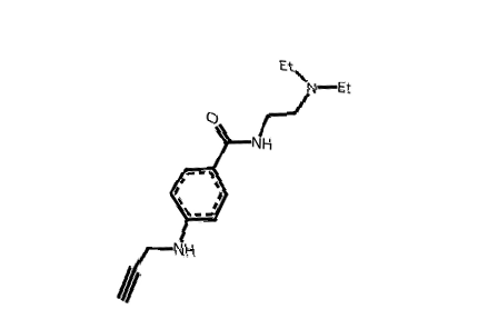 C#CCNc1ccc(C(=O)NCCN(CC)CC)cc1